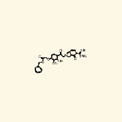 CCCc1c(OCC(=O)OCc2ccccc2)ccc(C(=O)CN2C=C3C=CC(C(=N)SC)C(=O)C3C2)c1O